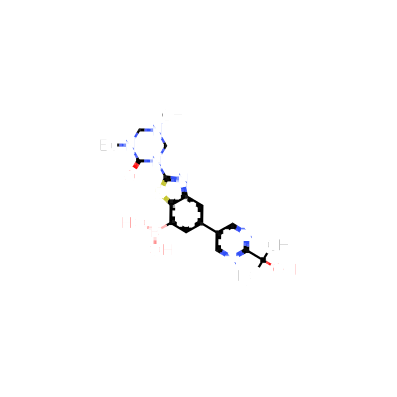 CCN1CN(C)CN(c2nc3cc(-c4cnc(C(C)(C)O)nc4)cc(B(O)O)c3s2)C1=O